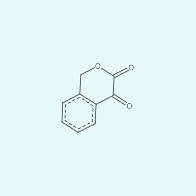 O=C1OCc2ccccc2C1=O